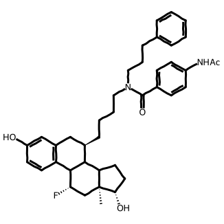 CC(=O)Nc1ccc(C(=O)N(CCCC[C@@H]2Cc3cc(O)ccc3C3C2C2CC[C@H](O)[C@@]2(C)C[C@@H]3F)CCCc2ccccc2)cc1